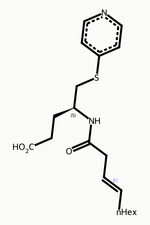 CCCCCC/C=C/CC(=O)N[C@@H](CCC(=O)O)CSc1ccncc1